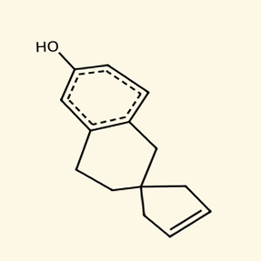 Oc1ccc2c(c1)CCC1(CC=CC1)C2